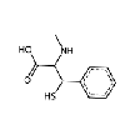 CNC(C(=O)O)C(S)c1ccccc1